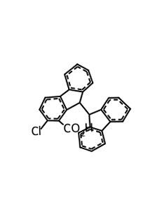 O=C(O)c1c(Cl)ccc2c1C(C1c3ccccc3-c3ccccc31)c1ccccc1-2